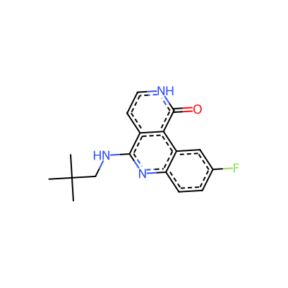 CC(C)(C)CNc1nc2ccc(F)cc2c2c(=O)[nH]ccc12